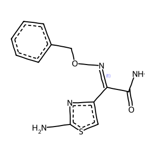 [NH]C(=O)/C(=N/OCc1ccccc1)c1csc(N)n1